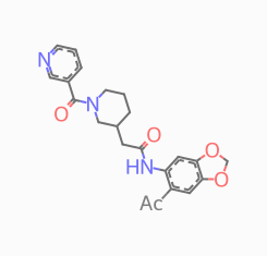 CC(=O)c1cc2c(cc1NC(=O)CC1CCCN(C(=O)c3cccnc3)C1)OCO2